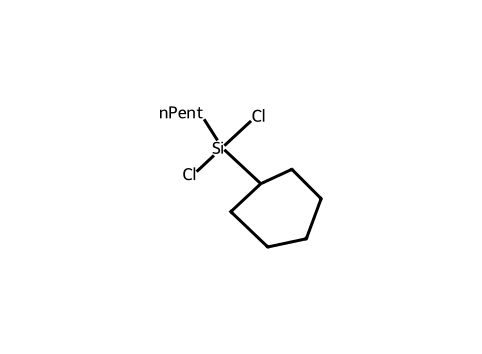 CCCCC[Si](Cl)(Cl)C1CCCCC1